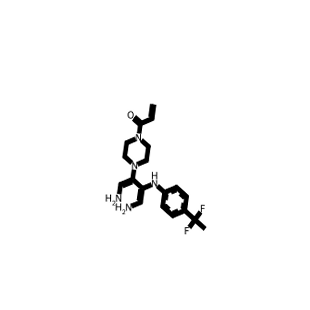 C=CC(=O)N1CCN(C(=C/N)/C(=C\N)Nc2ccc(C(C)(F)F)cc2)CC1